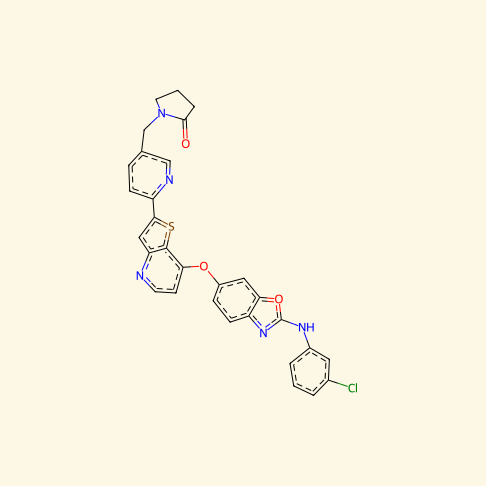 O=C1CCCN1Cc1ccc(-c2cc3nccc(Oc4ccc5nc(Nc6cccc(Cl)c6)oc5c4)c3s2)nc1